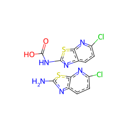 Nc1nc2ccc(Cl)nc2s1.O=C(O)Nc1nc2ccc(Cl)nc2s1